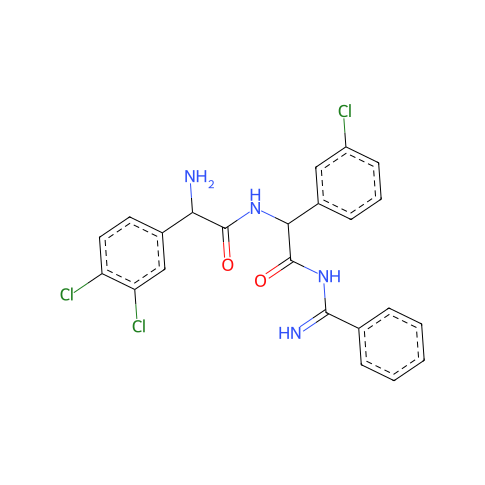 N=C(NC(=O)C(NC(=O)C(N)c1ccc(Cl)c(Cl)c1)c1cccc(Cl)c1)c1ccccc1